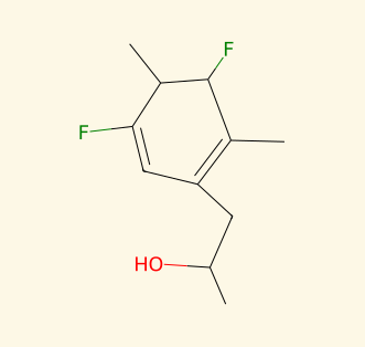 CC1=C(CC(C)O)C=C(F)C(C)C1F